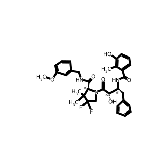 COc1cccc(CNC(=O)[C@H]2N(C(=O)[C@@H](O)[C@H](Cc3ccccc3)NC(=O)c3cccc(O)c3C)CC(F)(F)C2(C)C)c1